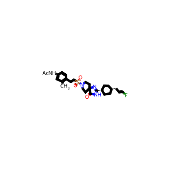 CC(=O)Nc1ccc(CCS(=O)(=O)N2CCC3(CC2)N=C([C@H]2CC[C@@H](C/C=C/F)CC2)NC3=O)c(C)c1